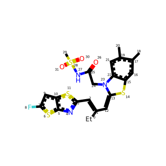 CCC(=Cc1nc2sc(F)cc2s1)C=C1Sc2cc(C)c(C)cc2N1CC(=O)NS(C)(=O)=O